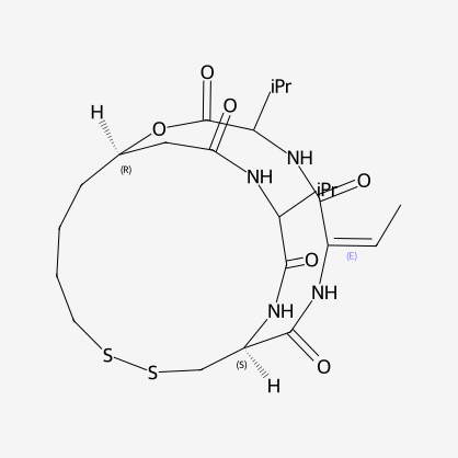 C/C=C1/NC(=O)[C@H]2CSSCCCC[C@H](CC(=O)NC(C(C)C)C(=O)N2)OC(=O)C(C(C)C)NC1=O